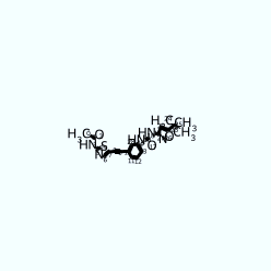 CC(=O)Nc1ncc(C#Cc2cccc(NC(=O)Nc3cc(C(C)(C)C)on3)c2)s1